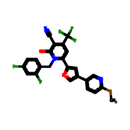 CSc1ccc(-c2coc(-c3cc(C(F)(F)F)c(C#N)c(=O)n3Cc3ccc(F)cc3F)c2)cn1